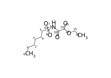 CCCCCCS(=O)(=O)NC(=O)C(=O)OCC